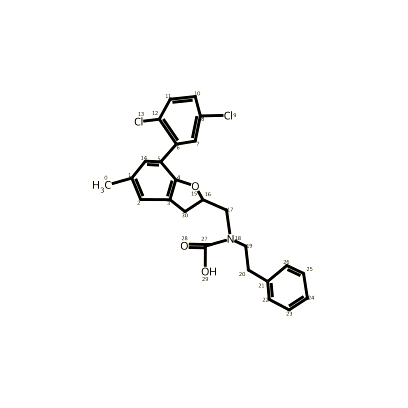 Cc1cc2c(c(-c3cc(Cl)ccc3Cl)c1)OC(CN(CCc1ccccc1)C(=O)O)C2